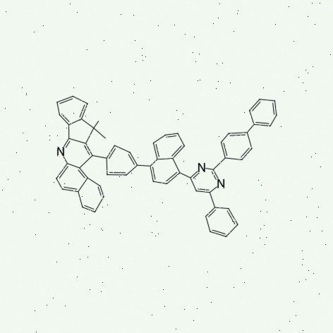 CC1(C)c2ccccc2-c2nc3ccc4ccccc4c3c(-c3ccc(-c4ccc(-c5cc(-c6ccccc6)nc(-c6ccc(-c7ccccc7)cc6)n5)c5ccccc45)cc3)c21